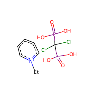 CC[n+]1ccccc1.O=P(O)(O)C(Cl)(Cl)P(=O)(O)O